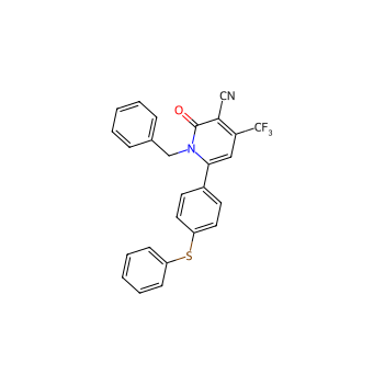 N#Cc1c(C(F)(F)F)cc(-c2ccc(Sc3ccccc3)cc2)n(Cc2ccccc2)c1=O